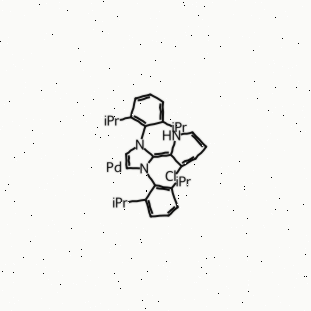 CC(C)c1cccc(C(C)C)c1N1C=CN(c2c(C(C)C)cccc2C(C)C)C1=C1NC=CC=C1Cl.[Pd]